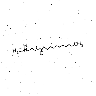 CCCCCCCCCCCC(=O)OCCCNCC